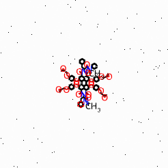 CCN(C(=O)C(Cc1ccccc1)N1C(=O)c2cc(Oc3ccc(OCC4CO4)cc3)c3c4c(Oc5ccc(OCC6CO6)cc5)cc5c6c(cc(Oc7ccc(OCC8CO8)cc7)c(c7c(Oc8ccc(OCC9CO9)cc8)cc(c2c37)C1=O)c64)C(=O)N(C(Cc1ccccc1)C(=O)N(CC)c1ccccc1)C5=O)c1ccccc1